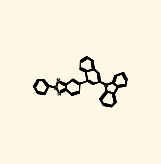 c1ccc(-n2nc3ccc(-c4cc(-n5c6ccccc6c6ccccc65)cc5ccccc45)cc3n2)cc1